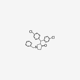 O=C1CCN(Cc2ccccc2)CC1C(c1ccc(Cl)cc1)c1ccc(Cl)cc1